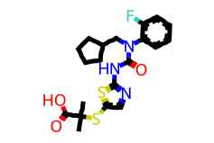 CC(C)(Sc1cnc(NC(=O)N(CC2CCCC2)c2ccccc2F)s1)C(=O)O